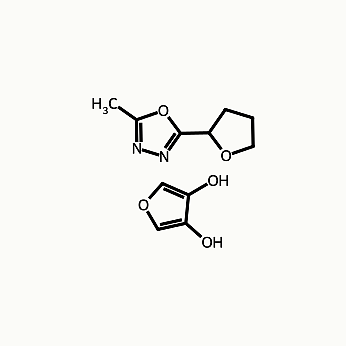 Cc1nnc(C2CCCO2)o1.Oc1cocc1O